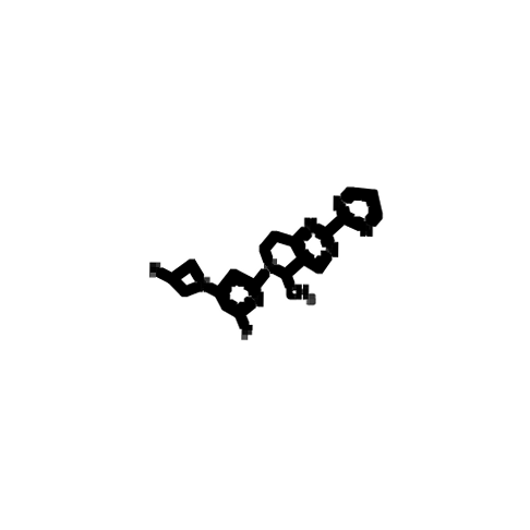 CC1c2cnc(-c3ncccn3)nc2CCN1c1cc(N2CC(F)C2)cc(F)n1